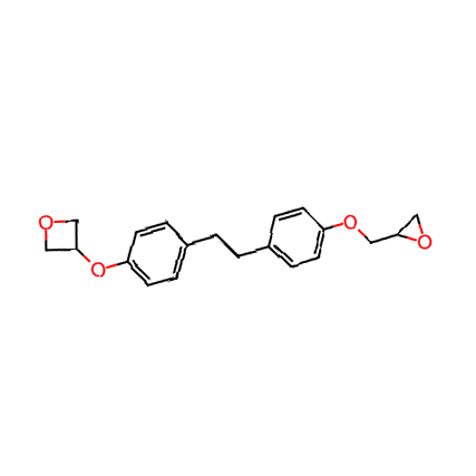 c1cc(OCC2CO2)ccc1CCc1ccc(OC2COC2)cc1